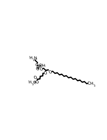 CCCCCCCCCCCCCCCCCOCC(COP(=O)(O)OCCN)OCCCCC(=O)OC